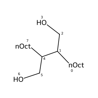 [CH2]CCCCCCCC(CO)C(CO)CCCCCCCC